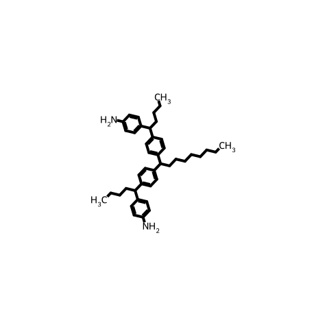 CCCCCCCCC(c1ccc(C(CCCC)c2ccc(N)cc2)cc1)c1ccc(C(CCCC)c2ccc(N)cc2)cc1